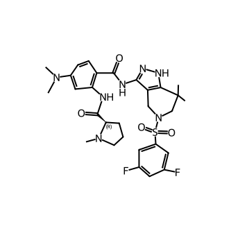 CN(C)c1ccc(C(=O)Nc2n[nH]c3c2CN(S(=O)(=O)c2cc(F)cc(F)c2)CC3(C)C)c(NC(=O)[C@H]2CCCN2C)c1